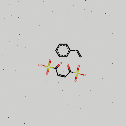 C=Cc1ccccc1.O=C(/C=C\C(=O)S(=O)(=O)O)S(=O)(=O)O